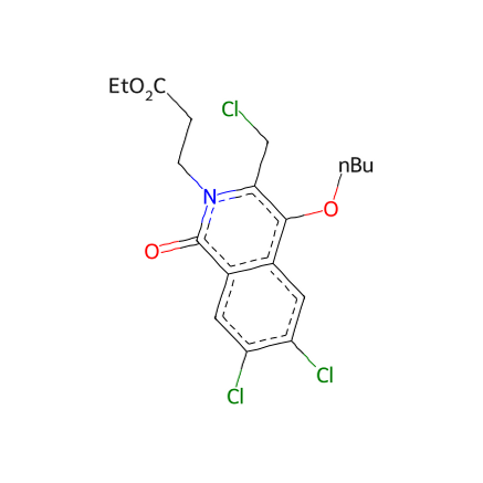 CCCCOc1c(CCl)n(CCC(=O)OCC)c(=O)c2cc(Cl)c(Cl)cc12